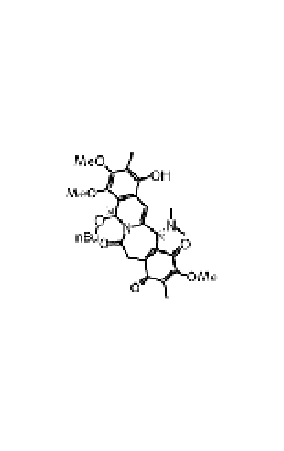 CCCCO[C@H]1c2c(c(O)c(C)c(OC)c2OC)C=C2[C@H](N(C)C)C3=C(CC(=O)N21)C(=O)C(C)=C(OC)C3=O